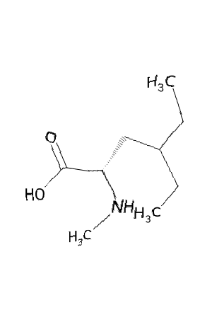 CCC(CC)C[C@H](NC)C(=O)O